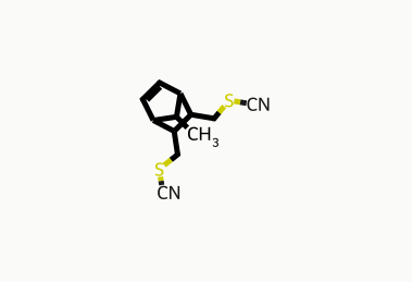 CC1C2C=CC1C(CSC#N)C2CSC#N